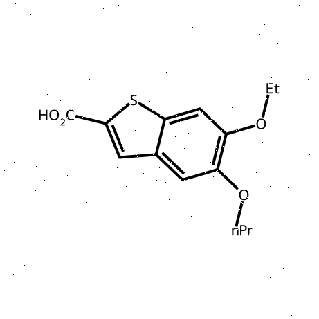 CCCOc1cc2cc(C(=O)O)sc2cc1OCC